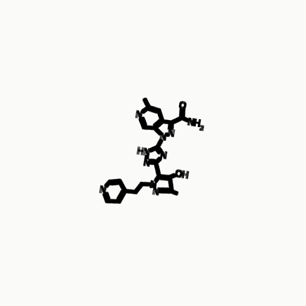 Cc1cc2c(C(N)=O)nn(-c3nc(-c4c(O)c(C)nn4CCc4ccncc4)n[nH]3)c2cn1